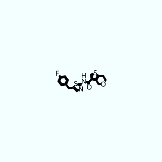 O=C(Nc1ncc(Cc2ccc(F)cc2)s1)c1csc2c1COCC2